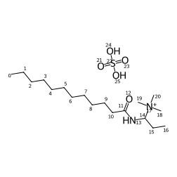 CCCCCCCCCCCC(=O)NC(CC)[N+](C)(C)C.O=S(=O)(O)O